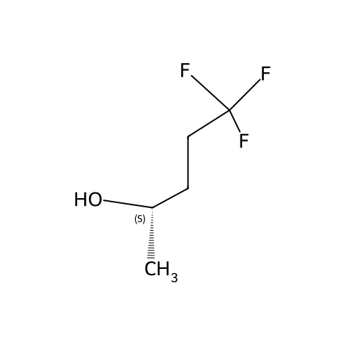 C[C@H](O)CCC(F)(F)F